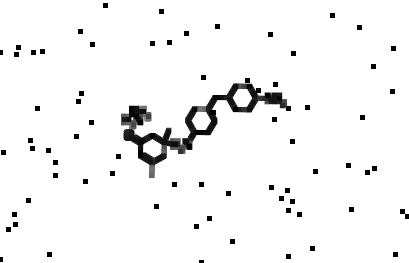 CC1=CC(=O)CC(C)(C)C1.N.N.NC1CCC(CC2CCC(N)CC2)CC1